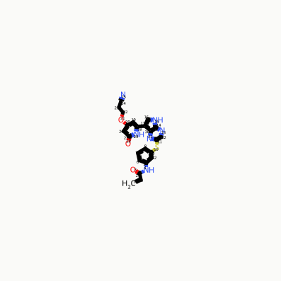 C=CC(=O)Nc1cccc(Sc2cnc3[nH]cc(-c4cc(OCCC#N)cc(=O)[nH]4)c3n2)c1